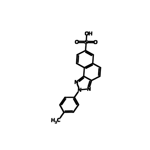 Cc1ccc(-n2nc3ccc4cc(S(=O)(=O)O)ccc4c3n2)cc1